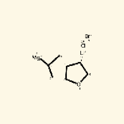 C1CCOC1.C[CH](C)[Mg+].[Br-].[Cl-].[Li+]